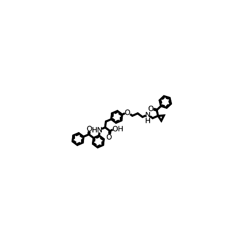 O=C(c1ccccc1)c1ccccc1NC(Cc1ccc(OCCCNCC2(C(=O)c3ccccc3)CC2)cc1)C(=O)O